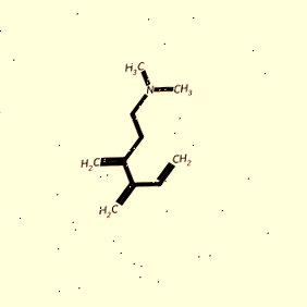 C=CC(=C)C(=C)CCN(C)C